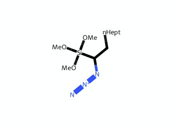 CCCCCCCCC(N=[N+]=[N-])[Si](OC)(OC)OC